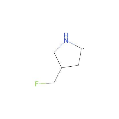 FCC1C[CH]NC1